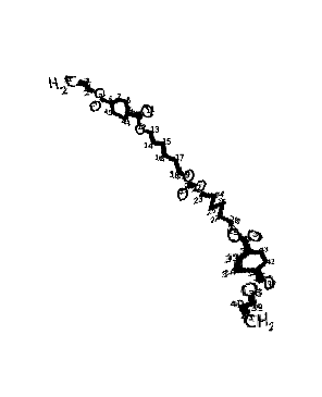 C=CCOC(=O)C1CCC(C(=O)OCCCCCCOC(=O)OCCCCCCOC(=O)C2CCC(C(=O)OCC=C)CC2)CC1